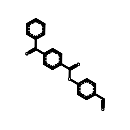 O=Cc1ccc(OC(=O)c2ccc(C(=O)c3ccccc3)cc2)cc1